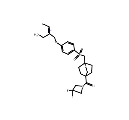 NC/C(=C\F)COc1ccc(S(=O)(=O)CC23CCC(C(=O)N4CC(F)(F)C4)(CC2)CC3)cc1